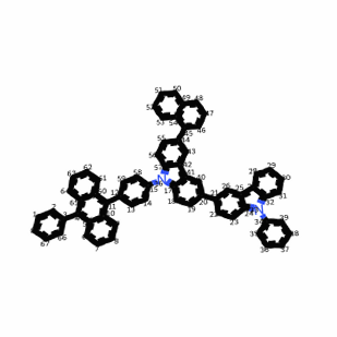 c1ccc(-c2c3ccccc3c(-c3ccc(-n4c5ccc(-c6ccc7c(c6)c6ccccc6n7-c6ccccc6)cc5c5cc(-c6cccc7ccccc67)ccc54)cc3)c3ccccc23)cc1